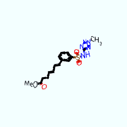 COC(=O)CCCCCCc1cccc(S(=O)(=O)Nc2nnn(C)n2)c1